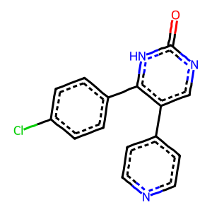 O=c1ncc(-c2ccncc2)c(-c2ccc(Cl)cc2)[nH]1